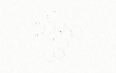 COc1ccc(Cc2cc([C@@H]3O[C@H](CO)[C@@H](O)[C@H](O)[C@H]3O)c(OC)c3c2CCCO3)cc1